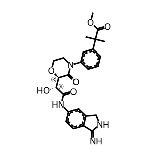 COC(=O)C(C)(C)c1cccc(N2CCO[C@H]([C@@H](O)C(=O)Nc3ccc4c(c3)CNC4=N)C2=O)c1